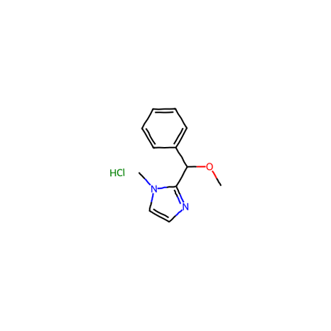 COC(c1ccccc1)c1nccn1C.Cl